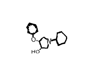 O[C@@H]1CN(C2CCCCC2)C[C@H]1Oc1ccccc1